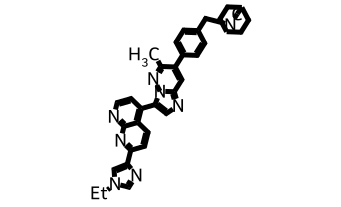 CCn1cnc(-c2ccc3c(-c4cnc5cc(-c6ccc(CN7CC8CCC7CC8)cc6)c(C)nn45)ccnc3n2)c1